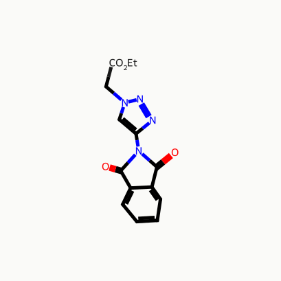 CCOC(=O)Cn1cc(N2C(=O)c3ccccc3C2=O)nn1